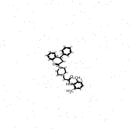 Cc1cccc(C)c1NC(=O)CN1CCN(C(=O)CC(c2ccccc2)c2ccccc2)CC1